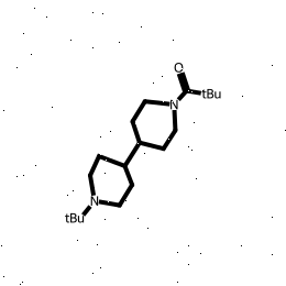 CC(C)(C)C(=O)N1CCC(C2CCN(C(C)(C)C)CC2)CC1